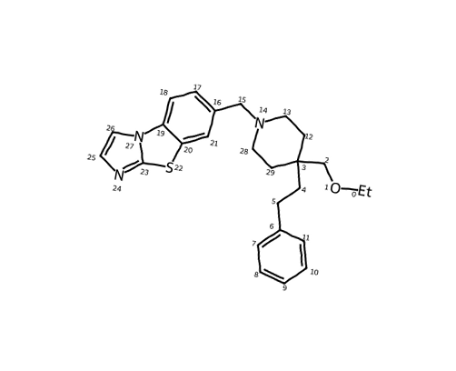 CCOCC1(CCc2ccccc2)CCN(Cc2ccc3c(c2)sc2nccn23)CC1